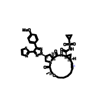 COc1ccc(-c2nn([C@@H]3C[C@H]4C(=O)N[C@]5(C(=O)NS(=O)(=O)C6CC6)C[C@H]5/C=C\CCCCO[C@H](C)C(=O)N4C3)nc2-c2nccs2)cc1